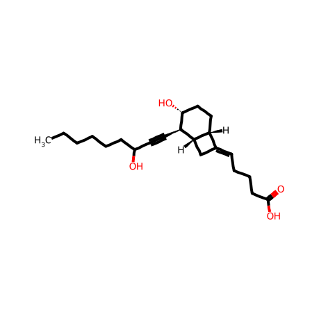 CCCCCCC(O)C#C[C@@H]1[C@H]2C/C(=C\CCCC(=O)O)[C@H]2CC[C@H]1O